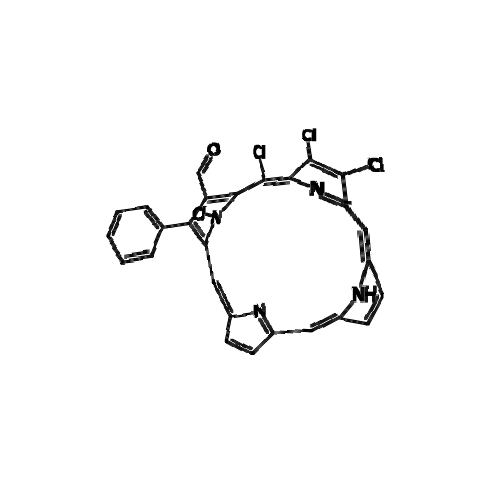 O=Cc1c(-c2ccccc2)c2cc3nc(cc4ccc(cc5nc(c(Cl)c1n2Cl)C(Cl)=C5Cl)[nH]4)C=C3